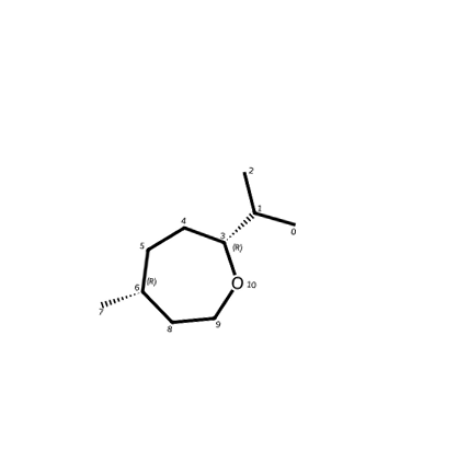 CC(C)[C@H]1CC[C@@H](C)CCO1